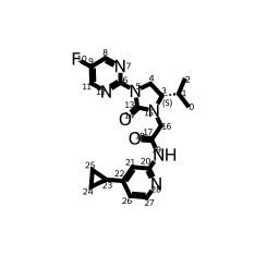 CC(C)[C@H]1CN(c2ncc(F)cn2)C(=O)N1CC(=O)Nc1cc(C2CC2)ccn1